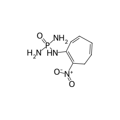 NP(N)(=O)NC1=C([N+](=O)[O-])CC=CC=C1